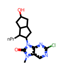 CCCC1C2CC(O)CC2CC1n1c(=O)n(C)c2cnc(Cl)nc21